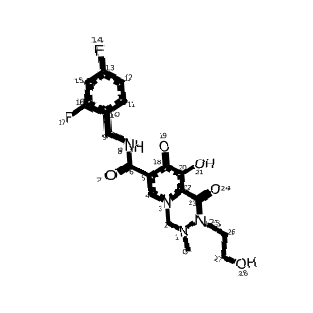 CN1Cn2cc(C(=O)NCc3ccc(F)cc3F)c(=O)c(O)c2C(=O)N1CCO